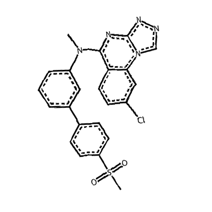 CN(c1cccc(-c2ccc(S(C)(=O)=O)cc2)c1)c1nc2nncn2c2cc(Cl)ccc12